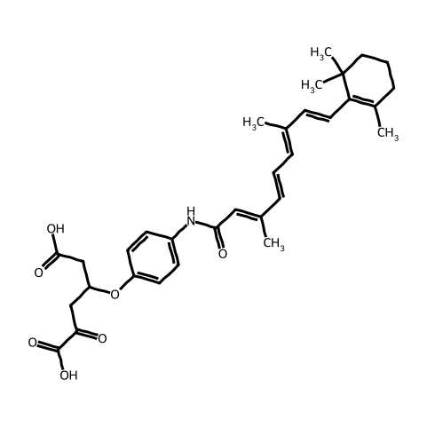 CC(C=CC1=C(C)CCCC1(C)C)=CC=CC(C)=CC(=O)Nc1ccc(OC(CC(=O)O)CC(=O)C(=O)O)cc1